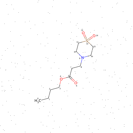 CCCCOC(=O)CCN1CCS(=O)(=O)CC1